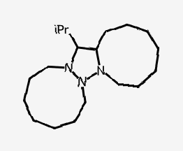 CC(C)C1C2CCCCCCCN2N2CCCCCCCN12